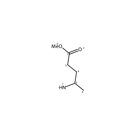 COC(=O)CCC(C)[NH]